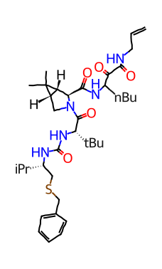 C=CCNC(=O)C(=O)C(CCCC)NC(=O)[C@@H]1[C@@H]2[C@H](CN1C(=O)[C@@H](NC(=O)N[C@H](CSCc1ccccc1)C(C)C)C(C)(C)C)C2(C)C